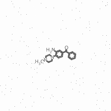 CN1CCN(c2ccc(C(=O)c3ccccc3)cc2N)CC1